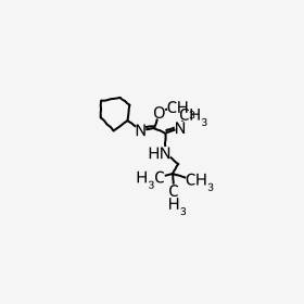 C/N=C(NCC(C)(C)C)\C(=N\C1CCCCC1)OC